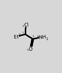 CCC(Cl)C(N)=O